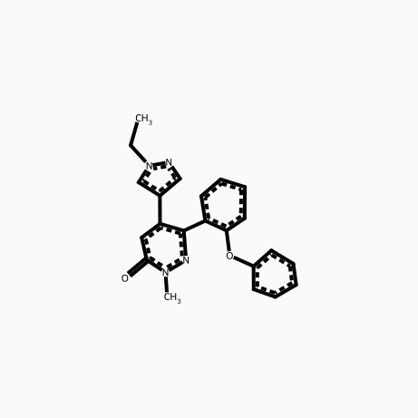 CCn1cc(-c2cc(=O)n(C)nc2-c2ccccc2Oc2ccccc2)cn1